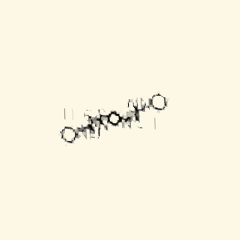 CN(C(=O)CNC1CCCCCC1)c1nc2cc3nc(N(C)C(=O)CNC4CCCCCC4)sc3cc2s1